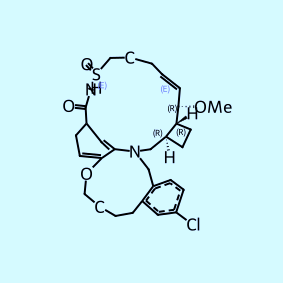 CO[C@H]1/C=C/CCC/[SH](=O)=N\C(=O)C2C=C3C(=CC2)OCCCCc2cc(Cl)ccc2CN3C[C@@H]2CC[C@H]21